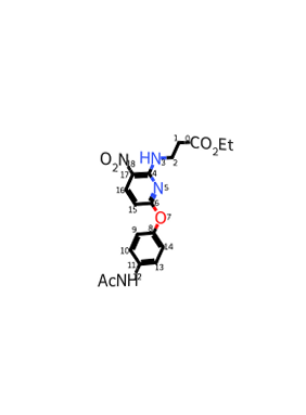 CCOC(=O)CCNc1nc(Oc2ccc(NC(C)=O)cc2)ccc1[N+](=O)[O-]